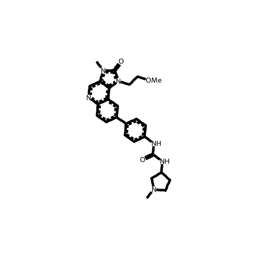 COCCn1c(=O)n(C)c2cnc3ccc(-c4ccc(NC(=O)NC5CCN(C)C5)cc4)cc3c21